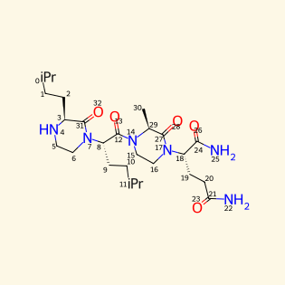 CC(C)CC[C@@H]1NCCN([C@@H](CCC(C)C)C(=O)N2CCN([C@@H](CCC(N)=O)C(N)=O)C(=O)[C@@H]2C)C1=O